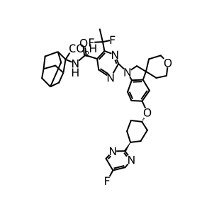 CC(F)(F)c1nc(N2CC3(CCOCC3)c3cc(O[C@H]4CC[C@H](c5ncc(F)cn5)CC4)ccc32)ncc1C(=O)NC1(C(=O)O)C2CC3CC(C2)CC1C3